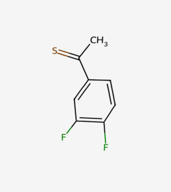 CC(=S)c1ccc(F)c(F)c1